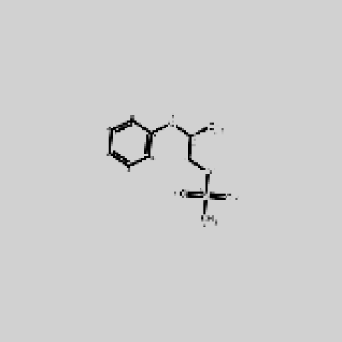 C[C@@H](COS(C)(=O)=O)Oc1ccccc1